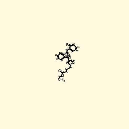 CCOC(=O)CCCn1nnc(-c2nn(Cc3ccccc3F)c3ncccc23)n1